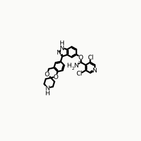 N[C@@H](Oc1ccc2[nH]nc(-c3ccc4c(c3)COC3(CCNCC3)O4)c2c1)c1c(Cl)cncc1Cl